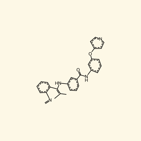 C=Nc1ccccc1C(Nc1cccc(C(=O)Nc2cccc(Oc3ccncc3)c2)c1)=C(C)C